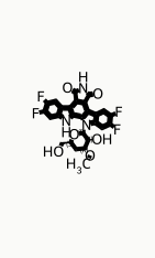 CO[C@@H]1C[C@@H](CO)O[C@@H](n2c3cc(F)c(F)cc3c3c4c(c5c6cc(F)c(F)cc6[nH]c5c32)C(=O)NC4=O)[C@@H]1O